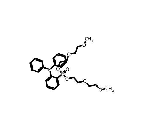 COCCOCCOP(=O)(OCCOCCOC)c1ccccc1P(c1ccccc1)c1ccccc1